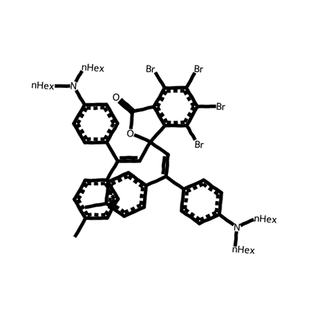 CCCCCCN(CCCCCC)c1ccc(C(=CC2(C=C(c3ccc(C)cc3)c3ccc(N(CCCCCC)CCCCCC)cc3)OC(=O)c3c(Br)c(Br)c(Br)c(Br)c32)c2ccc(C)cc2)cc1